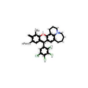 C=c1c(CCCCC)cc2c(c1CCCC)Oc1c(cc3c4c1CCCN4CCCC3)C=2c1cc(Cl)c(Cl)c(Cl)c1Cl